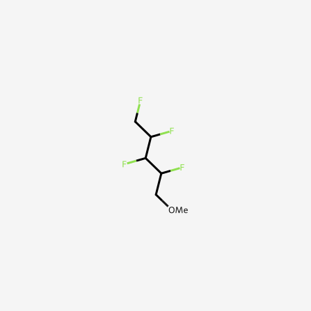 COCC(F)C(F)C(F)CF